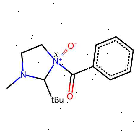 CN1CC[N@@+]([O-])(C(=O)c2ccccc2)C1C(C)(C)C